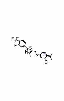 C=C(/C=C\C(CCl)=C(C)C)SCc1sc(-c2ccc(C(F)(F)F)c(F)c2)nc1C